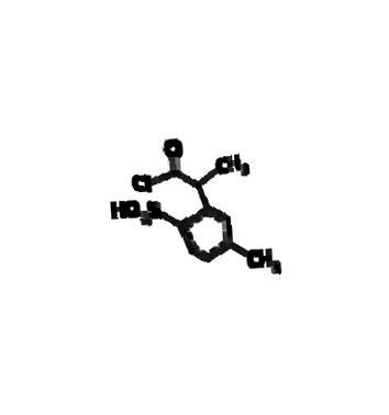 Cc1ccc(S(=O)(=O)O)c(C(C)C(=O)Cl)c1